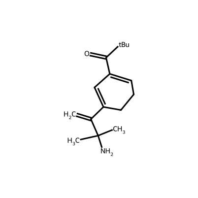 C=C(C1=CC(C(=O)C(C)(C)C)=CCC1)C(C)(C)N